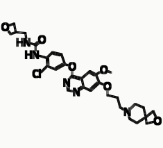 COc1cc2c(Oc3ccc(NC(=O)NCC4COC4)c(Cl)c3)ncnc2cc1OCCCN1CCC2(CC1)COC2